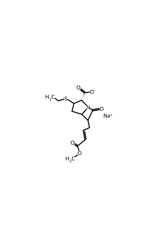 CCSC1CC2C(C/C=C/C(=O)OC)C(=O)N2[C@H]1C(=O)[O-].[Na+]